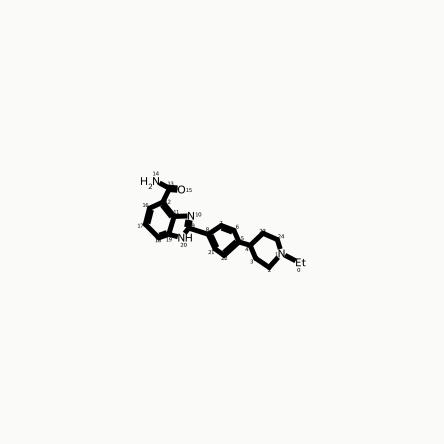 CCN1CCC(c2ccc(-c3nc4c(C(N)=O)cccc4[nH]3)cc2)CC1